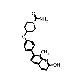 Cc1c(-c2ccc(OC3CCN(C(N)=O)CC3)cc2)ccc2ccc(O)nc12